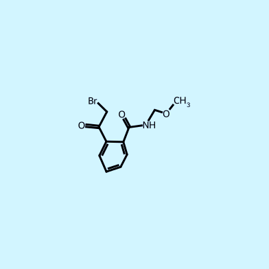 COCNC(=O)c1ccccc1C(=O)CBr